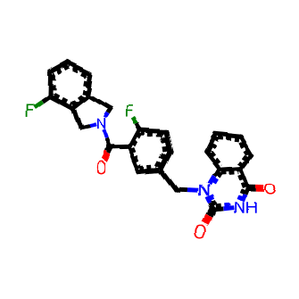 O=C(c1cc(Cn2c(=O)[nH]c(=O)c3ccccc32)ccc1F)N1Cc2cccc(F)c2C1